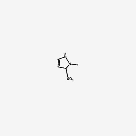 CN1N[C]=CC1[N+](=O)[O-]